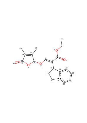 CCOC(=O)/C(=C/OC1OC(=O)C(C)=C1C)C1CCc2ccccc21